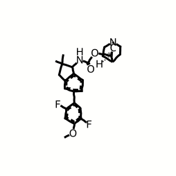 COc1cc(F)c(-c2ccc3c(c2)CC(C)(C)C3NC(=O)O[C@H]2CN3CCC2CC3)cc1F